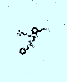 C[Si](C)(C)CCOCn1c(CNC(=O)OCc2ccccc2)nc2c(CCN)cccc21